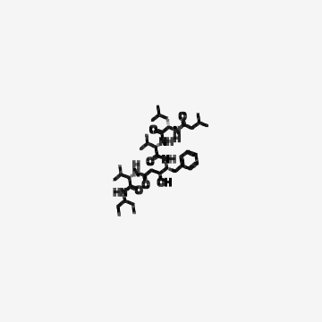 CCC(CC)NC(=O)[C@@H](NC(=O)C[C@H](O)[C@H](Cc1ccccc1)NC(=O)[C@@H](NC(=O)[C@H](CC(C)C)NC(=O)CC(C)C)C(C)C)C(C)C